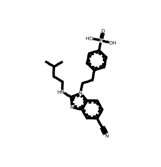 CC(C)CCNc1nc2cc(C#N)ccc2n1CCc1ccc(P(=O)(O)O)cc1